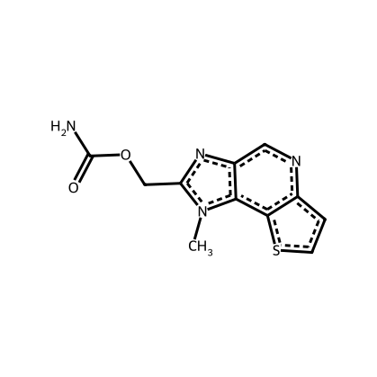 Cn1c(COC(N)=O)nc2cnc3ccsc3c21